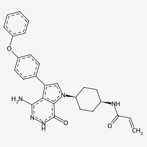 C=CC(=O)N[C@H]1CC[C@@H](n2cc(-c3ccc(Oc4ccccc4)cc3)c3c(N)n[nH]c(=O)c32)CC1